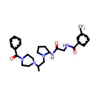 CC(CN1CCCC1NC(=O)CNC(=O)c1cccc(C(F)(F)F)c1)N1CCN(C(=O)c2ccccc2)CC1